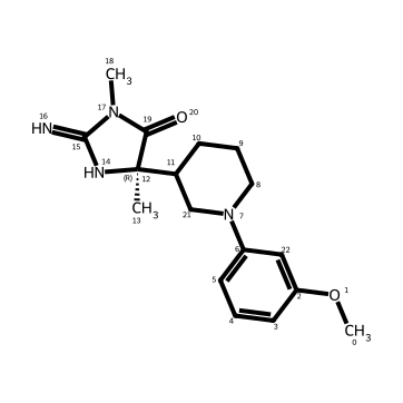 COc1cccc(N2CCCC([C@@]3(C)NC(=N)N(C)C3=O)C2)c1